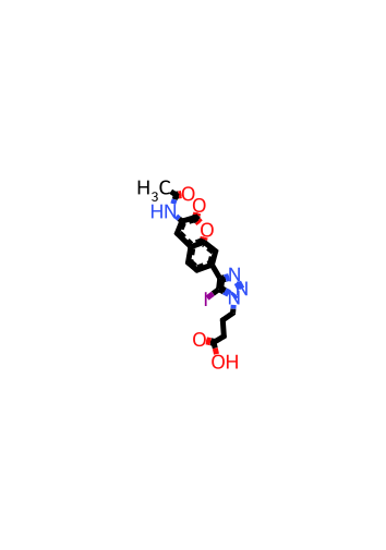 CC(=O)Nc1cc2ccc(-c3nnn(CCCC(=O)O)c3I)cc2oc1=O